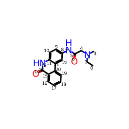 CCN(C)CC(=O)Nc1ccc2[nH]c(=O)c3ccccc3c2c1